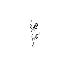 CCCCC(CCCC(CCCC)N=C=O)N=C=O